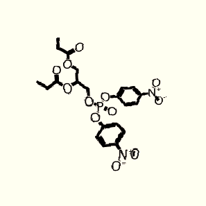 CCC(=O)OCC(COP(=O)(Oc1ccc([N+](=O)[O-])cc1)Oc1ccc([N+](=O)[O-])cc1)OC(=O)CC